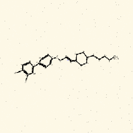 CCCCCC1CCC(/C=C/COc2ccc(-c3ccc(F)c(F)c3)cc2)CC1